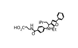 CCc1oc(-c2ccccc2)cc1C(CC(C)C)Nc1ccc(C(=O)NCCC(=O)O)cc1